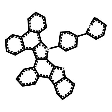 c1ccc(-c2ccc(-n3c4c5ccccc5c5ccccc5c4c4c5ccccc5c5c6ccccc6sc5c43)cc2)cc1